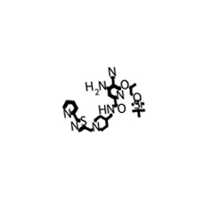 CC(CO[Si](C)(C)C(C)(C)C)Oc1nc(C(=O)NCC2CCN(Cc3cnc(-c4ccccn4)s3)CC2)cc(N)c1C#N